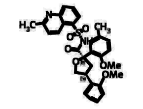 COc1ccccc1[C@H]1CO[C@@](C(=O)NS(=O)(=O)c2cccc3nc(C)ccc23)(c2cc(C)ccc2OC)C1